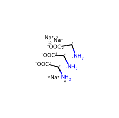 NCC(=O)[O-].NCC(=O)[O-].NCC(=O)[O-].[Na+].[Na+].[Na+]